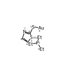 CCP(CC)CC.[Au][S]c1nccs1